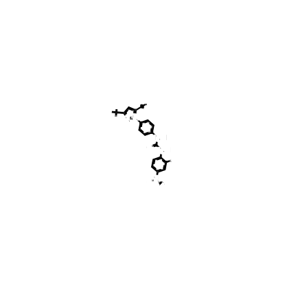 O=C(Nc1ccc(-n2nc(C(F)(F)F)cc2C(F)(F)F)cc1)Nc1ccc([N+](=O)[O-])cc1Cl